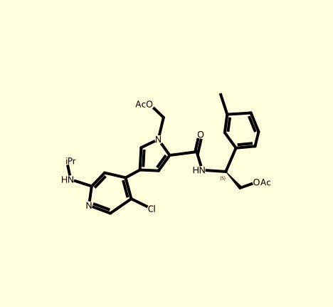 CC(=O)OC[C@@H](NC(=O)c1cc(-c2cc(NC(C)C)ncc2Cl)cn1COC(C)=O)c1cccc(C)c1